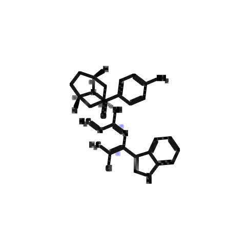 C=N/C(=N\C(=C(/C)Cl)c1c[nH]c2ccccc12)N[C@H]1C[C@H]2CC[C@@H](C1)N2C(=O)c1ccc(N)cc1